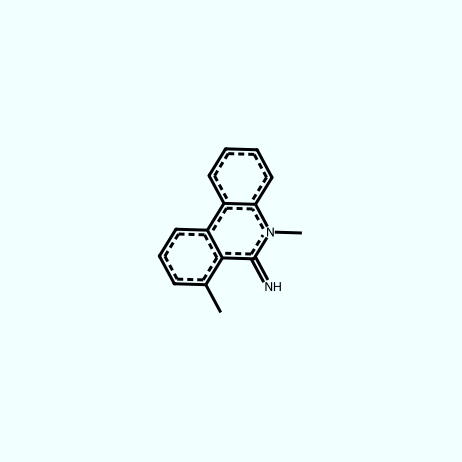 Cc1cccc2c1c(=N)n(C)c1ccccc21